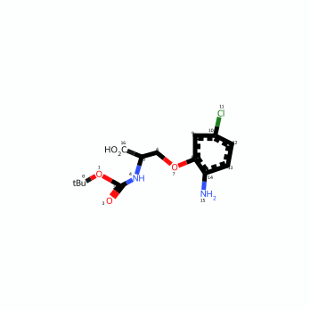 CC(C)(C)OC(=O)NC(COc1cc(Cl)ccc1N)C(=O)O